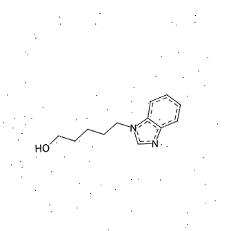 OCCCCCn1cnc2ccccc21